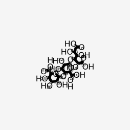 O=C(O)C(O)C(O)[C@H](O[C@@H]1OC(C(O)O)[C@@H](O[C@@H]2O[C@@H](C(=O)O)[C@@H](O)C(O)C2O)[C@H](O)C1O)C(O)C(=O)O